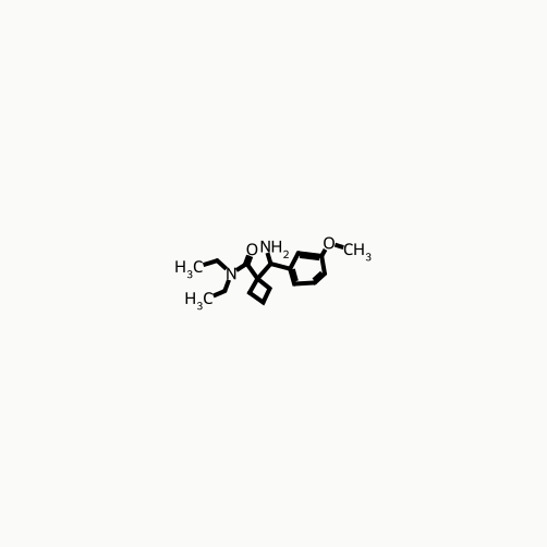 CCN(CC)C(=O)C1(C(N)c2cccc(OC)c2)CCC1